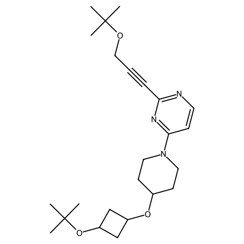 CC(C)(C)OCC#Cc1nccc(N2CCC(OC3CC(OC(C)(C)C)C3)CC2)n1